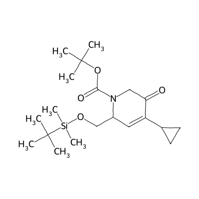 CC(C)(C)OC(=O)N1CC(=O)C(C2CC2)=CC1CO[Si](C)(C)C(C)(C)C